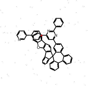 c1ccc(-c2nc(-c3ccc(-c4cccnc4)nc3)cc(-c3ccc4c(c3)C3(c5ccccc5-c5ccccc5-4)c4ccccc4-c4c3ccc3c4oc4ccccc43)n2)cc1